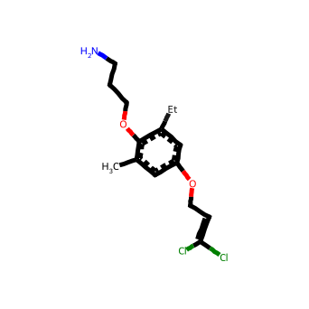 CCc1cc(OCC=C(Cl)Cl)cc(C)c1OCCCN